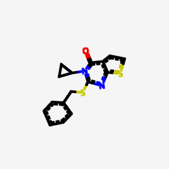 O=c1c2ccsc2nc(SCc2ccccc2)n1C1CC1